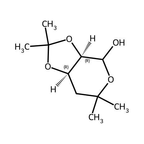 CC1(C)C[C@H]2OC(C)(C)O[C@H]2C(O)O1